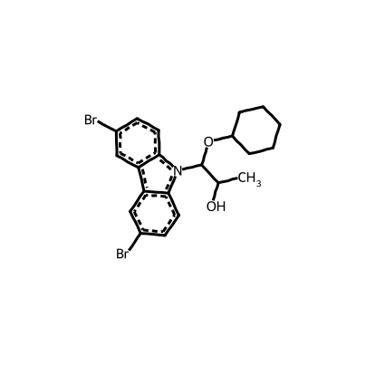 CC(O)C(OC1CCCCC1)n1c2ccc(Br)cc2c2cc(Br)ccc21